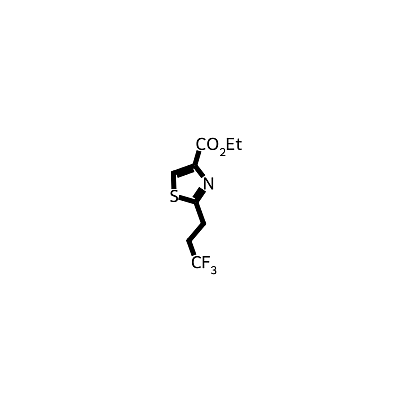 CCOC(=O)c1csc(CCC(F)(F)F)n1